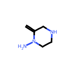 C=C1CNCCN1N